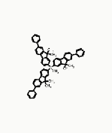 CC1(C)c2cc(-c3ccccc3)ccc2-c2ccc([Si](C)(c3ccc4c(c3)C(C)(C)c3cc(-c5ccccc5)ccc3-4)c3ccc4c(c3)C(C)(C)c3cc(-c5ccccc5)ccc3-4)cc21